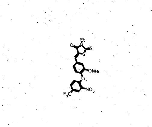 CCN1C(=O)C(=Cc2ccc(Oc3ccc(C(F)(F)F)cc3[N+](=O)[O-])c(OC)c2)SC1=S